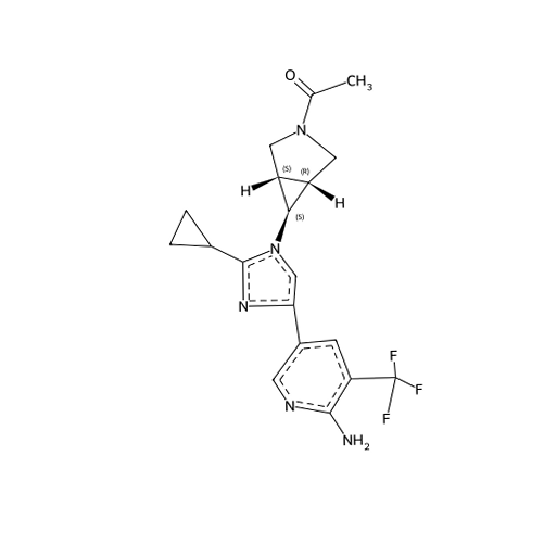 CC(=O)N1C[C@@H]2[C@H](C1)[C@H]2n1cc(-c2cnc(N)c(C(F)(F)F)c2)nc1C1CC1